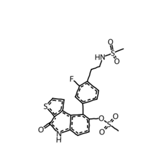 CS(=O)(=O)NCCc1ccc(-c2c(OS(C)(=O)=O)ccc3[nH]c(=O)c4sccc4c23)cc1F